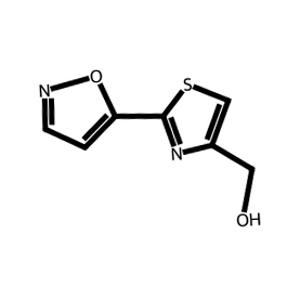 OCc1csc(-c2ccno2)n1